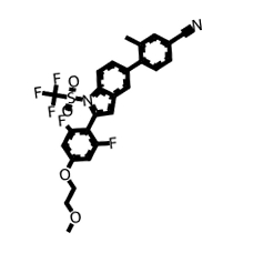 COCCOc1cc(F)c(-c2cc3cc(-c4ccc(C#N)cc4C)ccc3n2S(=O)(=O)C(F)(F)F)c(F)c1